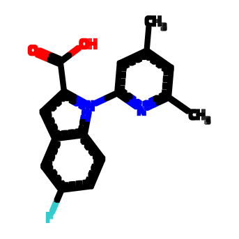 Cc1cc(C)nc(-n2c(C(=O)O)cc3cc(F)ccc32)c1